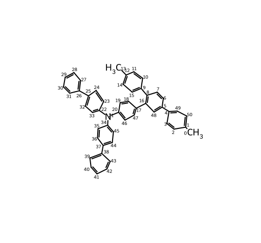 Cc1ccc(-c2ccc(-c3ccc(C)cc3)c(-c3ccc(N(c4ccc(-c5ccccc5)cc4)c4ccc(-c5ccccc5)cc4)cc3)c2)cc1